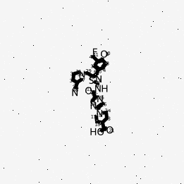 COc1ccc(-c2nc(NC(=O)c3cnc(N4CCC(C(=O)O)CC4)cn3)sc2CN2CCCC(C#N)C2)cc1CF